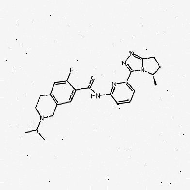 CC(C)N1CCc2cc(F)c(C(=O)Nc3cccc(-c4nnc5n4[C@H](C)CC5)n3)cc2C1